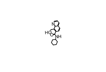 O=C(NC1CCCCC1)c1ccc2cccnc2c1CO